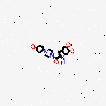 COc1ccc(N2CCN(C(=O)c3cc4cc(OC)c(OC)cc4[nH]3)CC2)cc1